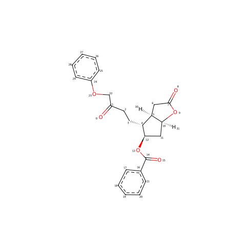 O=C(CC[C@@H]1[C@H]2CC(=O)O[C@H]2C[C@H]1OC(=O)c1ccccc1)COc1ccccc1